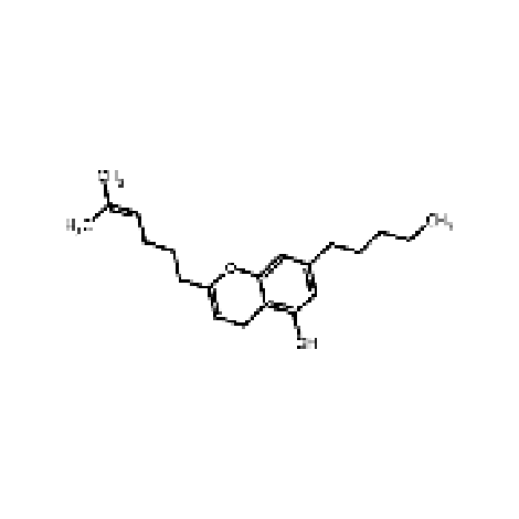 CCCCCc1cc(O)c2c(c1)OC(CCCC=C(C)C)=CC2